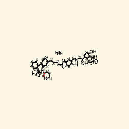 F.F.O=C1CCc2c([C@@H](O)CNCc3ccc4oc(CCCCc5ccc(-c6ccccc6)c(N(C(=O)O)C6CN7CCC6CC7)c5)nc4c3)ccc(O)c2N1